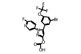 O=C(O)Oc1cc(-c2cc(Br)cc(OC(F)(F)F)c2)n(-c2ccc(F)nc2)n1